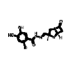 C[C@]1(/C=N/NC(=O)c2cc(O)c(O)cc2Br)CN2C(=O)C[C@H]2S1